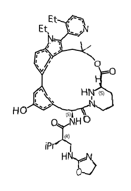 CCc1ccncc1-c1c2c3cc(ccc3n1CC)-c1cc(O)cc(c1)C[C@H](NC(=O)[C@@H](CNC1=NCCO1)C(C)C)C(=O)N1CCC[C@H](N1)C(=O)OCC(C)(C)C2